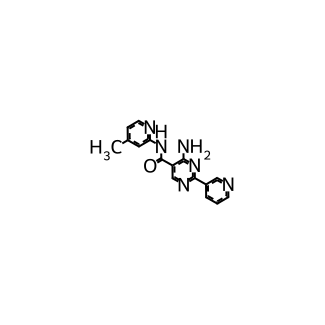 Cc1ccnc(NC(=O)c2cnc(-c3cccnc3)nc2N)c1